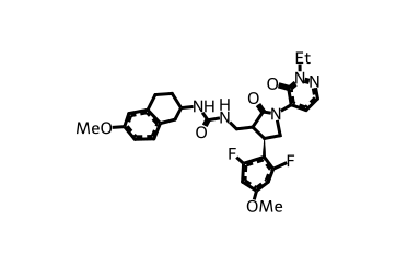 CCn1nccc(N2C[C@@H](c3c(F)cc(OC)cc3F)C(CNC(=O)NC3CCc4cc(OC)ccc4C3)C2=O)c1=O